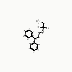 CCC(F)(F)OCCC(c1ccccc1)c1ccccc1